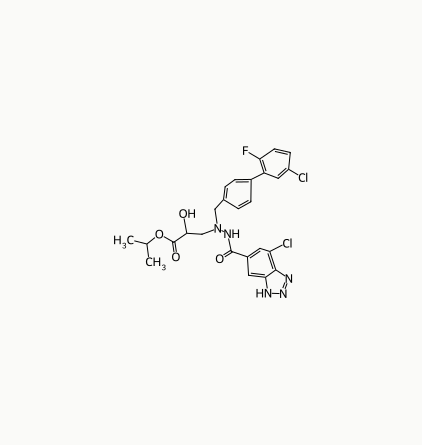 CC(C)OC(=O)C(O)CN(Cc1ccc(-c2cc(Cl)ccc2F)cc1)NC(=O)c1cc(Cl)c2nn[nH]c2c1